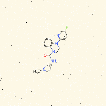 CN1CC[C@@H](NC(=O)N2CCN(c3ccc(F)cn3)c3ccccc32)C1